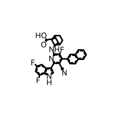 N#Cc1c(-c2c[nH]c3c(F)cc(F)cc23)nc(NC2C3CCC(CC3)C2C(=O)O)c(F)c1-c1ccc2ccccc2c1